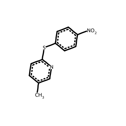 Cc1ccc(Sc2ccc([N+](=O)[O-])cc2)nc1